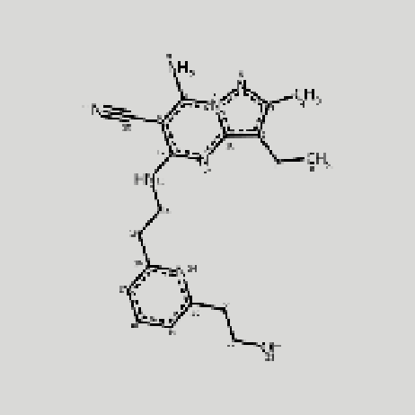 CCc1c(C)nn2c(N)c(C#N)c(NCCc3cccc(CCO)n3)nc12